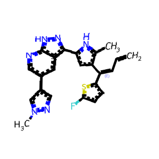 C=C/C=C(/c1ccc(F)s1)c1cc(-c2n[nH]c3ncc(-c4cnn(C)c4)cc23)[nH]c1C